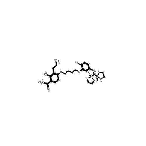 CCCc1c(OCCCCOc2cc(NC(P3(=O)OCCO3)P3(=O)OCCO3)ccc2F)ccc(C(C)=O)c1O